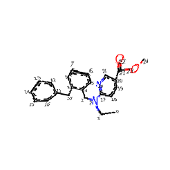 CCN(Cc1ccccc1Cc1ccccc1)c1ccc(C(=O)OC)cn1